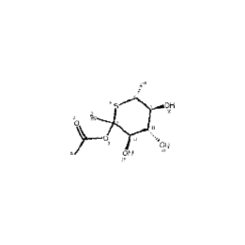 CC(=O)OC1(Br)S[C@H](C)[C@@H](O)[C@H](O)[C@H]1O